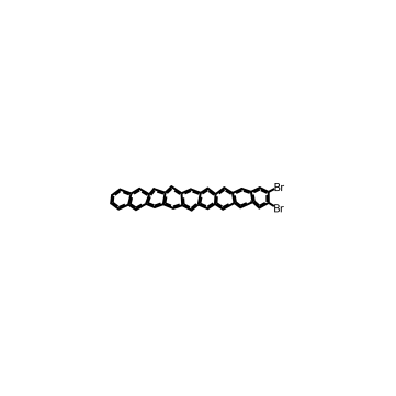 Brc1cc2cc3cc4cc5cc6cc7cc8cc9ccccc9cc8cc7cc6cc5cc4cc3cc2cc1Br